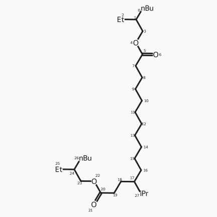 CCCCC(CC)COC(=O)CCCCCCCCCCC(CCC(=O)OCC(CC)CCCC)C(C)C